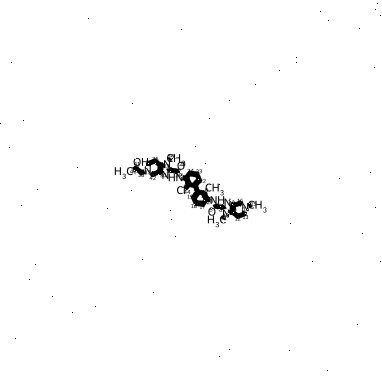 Cc1c(NC(=O)c2nc3c(n2C)CCN(C)C3)cccc1-c1cccc(NC(=O)c2nc3c(n2C)CCN(CC(C)O)C3)c1Cl